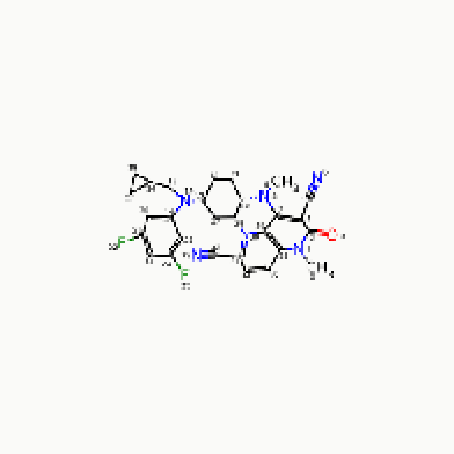 Cn1c(=O)c(C#N)c(N(C)[C@H]2CC[C@@H](N(CC3CC3)c3cc(F)cc(F)c3)CC2)c2nc(C#N)ccc21